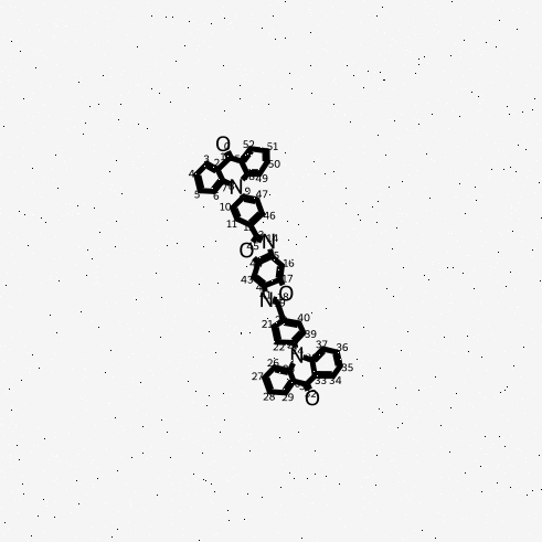 O=c1c2ccccc2n(-c2ccc(-c3nc4cc5oc(-c6ccc(-n7c8ccccc8c(=O)c8ccccc87)cc6)nc5cc4o3)cc2)c2ccccc12